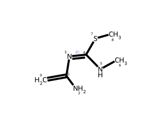 C=C(N)/N=C(\NC)SC